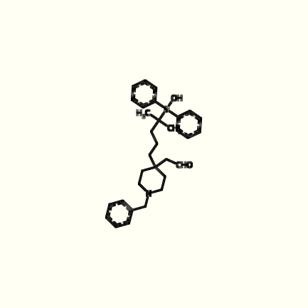 CC(C)(CCCC1(CC=O)CCN(Cc2ccccc2)CC1)[Si](O)(c1ccccc1)c1ccccc1